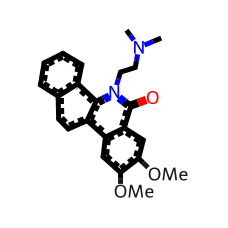 COc1cc2c(=O)n(CCN(C)C)c3c4ccccc4ccc3c2cc1OC